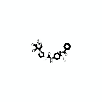 CC1(NC(=O)c2ccccc2)CCC(NC(=O)O[C@@H]2CCN(c3cn[nH]c(=O)c3Cl)C2)CC1